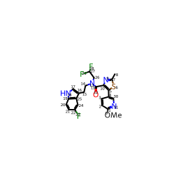 COc1ccc(-c2sc(C)nc2C(=O)N(CCc2c[nH]c3ccc(F)cc23)CC(F)F)cn1